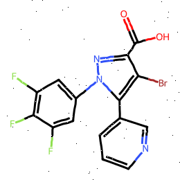 O=C(O)c1nn(-c2cc(F)c(F)c(F)c2)c(-c2cccnc2)c1Br